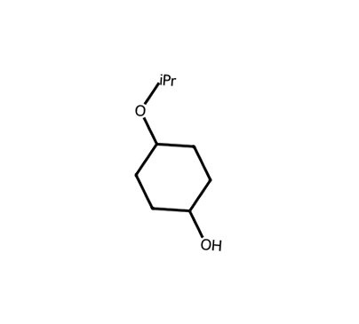 CC(C)OC1CCC(O)CC1